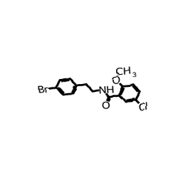 COc1ccc(Cl)cc1C(=O)NCCc1ccc(Br)cc1